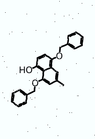 Cc1cc(OCc2ccccc2)c2c(O)ccc(OCc3ccccc3)c2c1